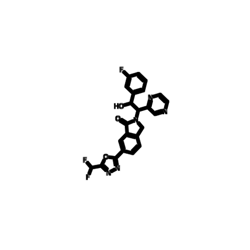 O=C1c2cc(-c3nnc(C(F)F)o3)ccc2CN1C(c1cnccn1)C(O)c1cccc(F)c1